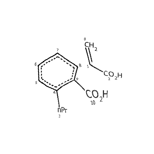 C=CC(=O)O.CCCc1ccccc1C(=O)O